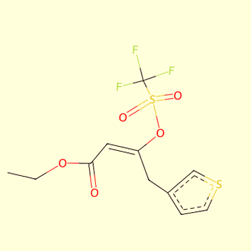 CCOC(=O)C=C(Cc1ccsc1)OS(=O)(=O)C(F)(F)F